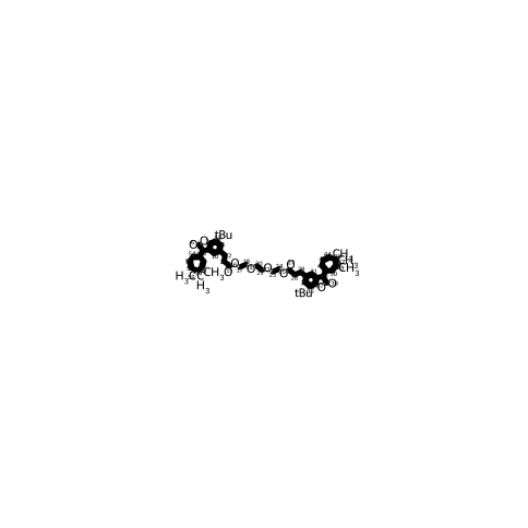 CC1=CC(C2C(=O)Oc3c2cc(CCC(=O)OCCOCCOCCOC(=O)CCc2cc4c(c(C(C)(C)C)c2)OC(=O)C4C2=CC=CC(C)(C)C(C)=C2)cc3C(C)(C)C)=CC=CC1(C)C